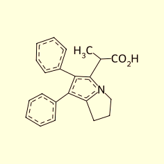 CC(C(=O)O)c1c(-c2ccccc2)c(-c2ccccc2)c2n1CCC2